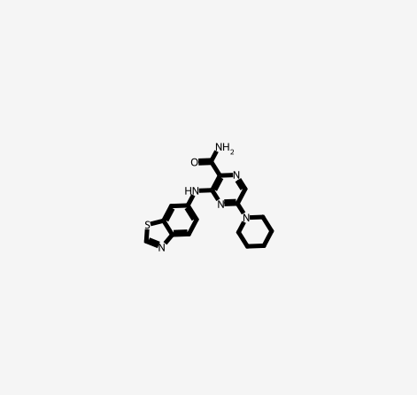 NC(=O)c1ncc(N2CCCCC2)nc1Nc1ccc2ncsc2c1